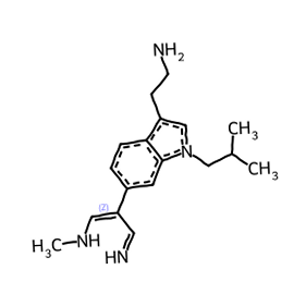 CN/C=C(\C=N)c1ccc2c(CCN)cn(CC(C)C)c2c1